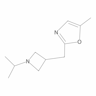 Cc1cnc(CC2CN(C(C)C)C2)o1